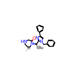 C[C@@H]1CNCC(=O)N([C@@H](c2nc(-c3ccccc3)cn2Cc2ccccc2)C(C)(C)C)C1